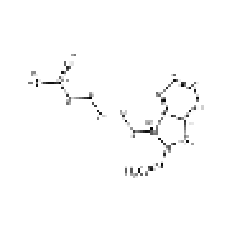 C=CC1Sc2ccccc2N1CCCCCC(=O)O